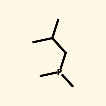 CC(C)CP(C)C